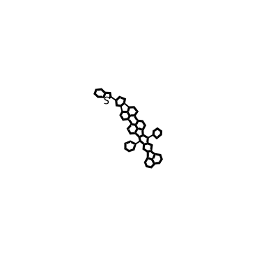 c1ccc(-c2c3cc4c(cc3c(-c3ccccc3)c3c5ccc6c7ccc8c9c(ccc(c%10ccc(c23)c5c%106)c97)-c2ccc(-c3cc5ccccc5s3)cc2-8)c2cccc3cccc4c32)cc1